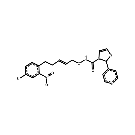 O=C(NOCC=CCCc1ccc(Br)cc1[N+](=O)[O-])N1[C]=CSC1c1ccncc1